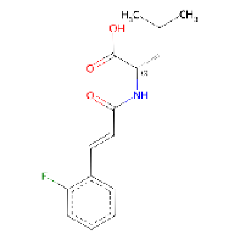 CC(C)C[C@H](NC(=O)C=Cc1ccccc1F)C(=O)O